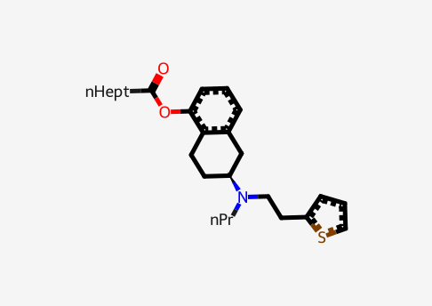 CCCCCCCC(=O)Oc1cccc2c1CC[C@H](N(CCC)CCc1cccs1)C2